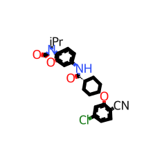 CC(C)n1c(=O)oc2cc(NC(=O)[C@H]3CC[C@@H](Oc4cc(Cl)ccc4C#N)CC3)ccc21